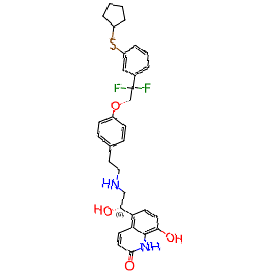 O=c1ccc2c([C@H](O)CNCCc3ccc(OCC(F)(F)c4cccc(SC5CCCC5)c4)cc3)ccc(O)c2[nH]1